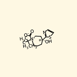 CC(C)(C)[N+]1(C(=O)[O-])CCC[C@](O)(c2nccs2)CC1